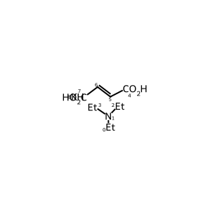 CCN(CC)CC.O=C(O)/C=C/C(=O)O.[KH]